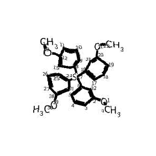 COc1cccc([Si](c2cccc(OC)c2)(c2cccc(OC)c2)c2cccc(OC)c2)c1